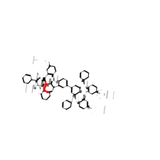 Oc1ccc2c(c1)B1c3cc(O)ccc3N(c3ccccc3)c3cc(-c4ccc5c(c4)c4ccc(O)cc4n5-c4ccc(C(F)(F)F)cc4-c4nc(-c5ccccc5)nc(-c5ccccc5)n4)cc(c31)N2c1ccccc1